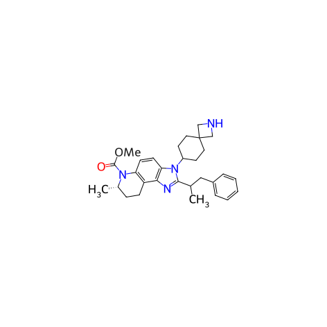 COC(=O)N1c2ccc3c(nc(C(C)Cc4ccccc4)n3C3CCC4(CC3)CNC4)c2CC[C@@H]1C